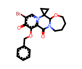 O=C1c2c(OCc3ccccc3)c(=O)c(Br)cn2C2(CC2)C2OCCCCN12